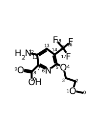 COCCOc1nc(C(=O)O)c(N)cc1C(F)(F)F